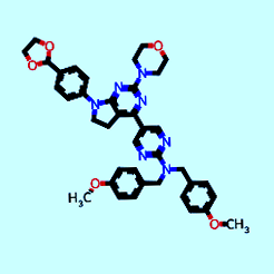 COc1ccc(CN(Cc2ccc(OC)cc2)c2ncc(-c3nc(N4CCOCC4)nc4c3CCN4c3ccc(C4OCCO4)cc3)cn2)cc1